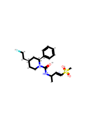 CC(/C=C/S(C)(=O)=O)NC(=O)N1CC[C@@H](CCF)C[C@H]1c1ccccc1